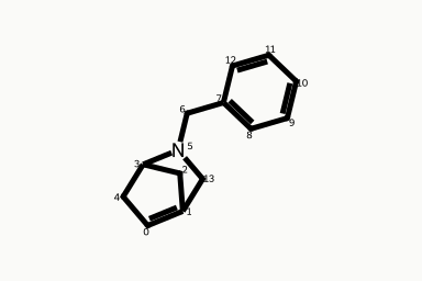 C1=C2CC(C1)N(Cc1ccccc1)C2